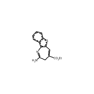 CCOC(=O)C1=Cc2sc3ccccc3c2N=C(N)C1